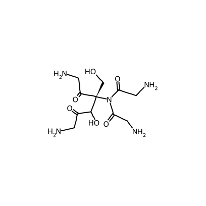 NCC(=O)C(O)[C@](CO)(C(=O)CN)N(C(=O)CN)C(=O)CN